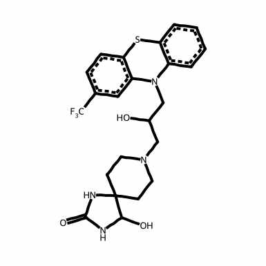 O=C1NC(O)C2(CCN(CC(O)CN3c4ccccc4Sc4ccc(C(F)(F)F)cc43)CC2)N1